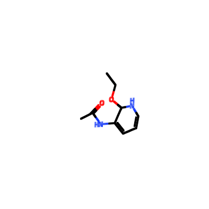 CCO[C]1NC=CC=C1NC(C)=O